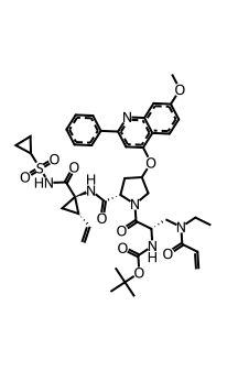 C=CC(=O)N(CC)C[C@H](NC(=O)OC(C)(C)C)C(=O)N1CC(Oc2cc(-c3ccccc3)nc3cc(OC)ccc23)C[C@H]1C(=O)N[C@]1(C(=O)NS(=O)(=O)C2CC2)C[C@H]1C=C